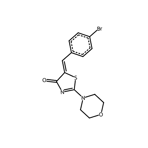 O=C1N=C(N2CCOCC2)S/C1=C\c1ccc(Br)cc1